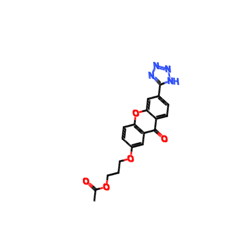 CC(=O)OCCCOc1ccc2oc3cc(-c4nnn[nH]4)ccc3c(=O)c2c1